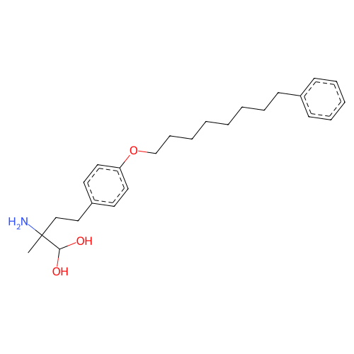 CC(N)(CCc1ccc(OCCCCCCCCc2ccccc2)cc1)C(O)O